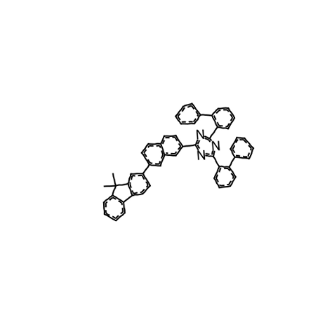 CC1(C)c2ccccc2-c2ccc(-c3ccc4ccc(-c5nc(-c6ccccc6-c6ccccc6)nc(-c6ccccc6-c6ccccc6)n5)cc4c3)cc21